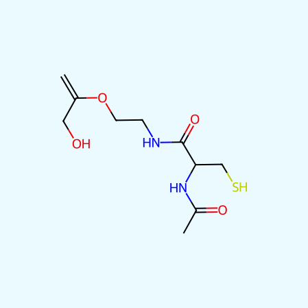 C=C(CO)OCCNC(=O)C(CS)NC(C)=O